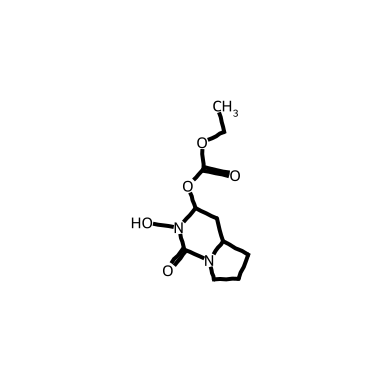 CCOC(=O)OC1CC2CCCN2C(=O)N1O